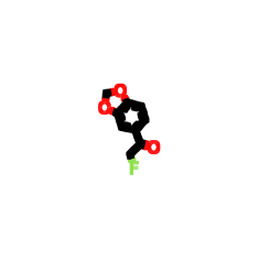 O=C(CF)c1ccc2c(c1)OCO2